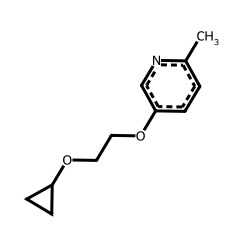 Cc1ccc(OCCOC2CC2)cn1